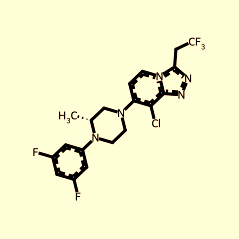 C[C@@H]1CN(c2ccn3c(CC(F)(F)F)nnc3c2Cl)CCN1c1cc(F)cc(F)c1